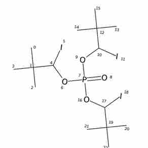 CC(C)(C)C(I)OP(=O)(OC(I)C(C)(C)C)OC(I)C(C)(C)C